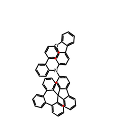 c1ccc(-c2ccccc2N(c2ccc3c(c2)C2(c4ccccc4-c4ccccc4-c4ccccc42)c2ccccc2-3)c2ccc3c(c2)oc2ccccc23)cc1